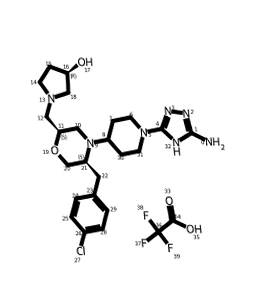 Nc1nnc(N2CCC(N3C[C@H](CN4CC[C@@H](O)C4)OC[C@@H]3Cc3ccc(Cl)cc3)CC2)[nH]1.O=C(O)C(F)(F)F